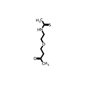 CC(=O)CCOCCNC(C)=S